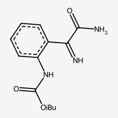 CC(C)COC(=O)Nc1ccccc1C(=N)C(N)=O